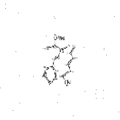 C=C(C=Cc1ccccc1)C(=O)OC.C=CC=CC=CC#N